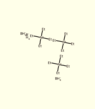 CC[N+](CC)(CC)CC.CC[N+](CC)(CC)CC.CC[N+](CC)(CC)CC.[BH4-].[BH4-].[BH4-]